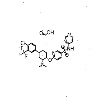 CN(C)[C@H]1C[C@@H](c2ccc(Cl)c(C(F)(F)F)c2)CC[C@@H]1Oc1ccc(S(=O)(=O)Nc2ccncn2)cn1.O=CO